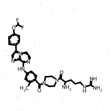 Cc1cc(Nc2nccn3c(-c4ccc(OC(F)F)cc4)cnc23)ccc1C(=O)N1CCN(C(=O)C(N)CCCNC(=N)N)CC1